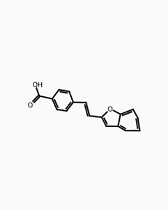 O=C(O)c1ccc(C=Cc2cc3ccccc3o2)cc1